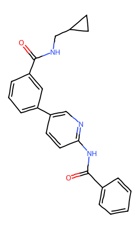 O=C(NCC1CC1)c1cccc(-c2ccc(NC(=O)c3ccccc3)nc2)c1